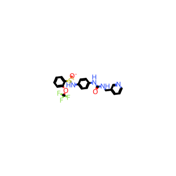 O=C(NCc1cccnc1)Nc1ccc(N[S+]([O-])c2ccccc2OC(F)(F)F)cc1